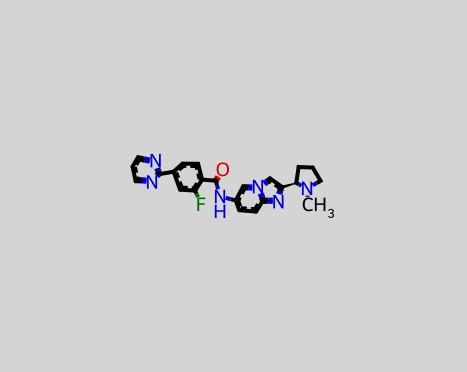 CN1CCC[C@@H]1c1cn2cc(NC(=O)c3ccc(-c4ncccn4)cc3F)ccc2n1